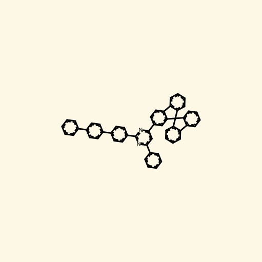 c1ccc(-c2ccc(-c3ccc(-c4nc(-c5ccccc5)cc(-c5ccc6c(c5)C5(c7ccccc7-c7ccccc75)c5ccccc5-6)n4)cc3)cc2)cc1